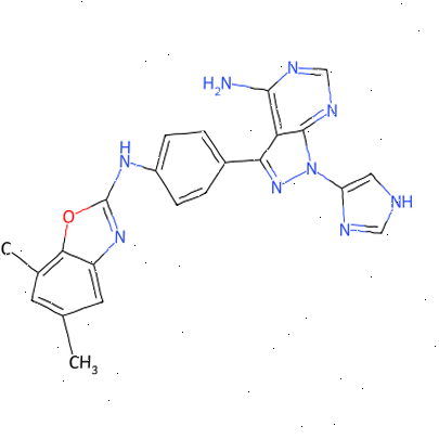 Cc1cc(C)c2oc(Nc3ccc(-c4nn(-c5c[nH]cn5)c5ncnc(N)c45)cc3)nc2c1